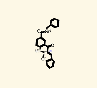 O=C(NCc1ccccc1)c1ccc2c(c1)C(=O)/C(=C/c1ccccc1)[S+]([O-])N2